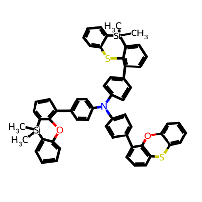 C[Si]1(C)c2ccccc2Oc2c(-c3ccc(N(c4ccc(-c5cccc6c5Oc5ccccc5S6)cc4)c4ccc(-c5cccc6c5Sc5ccccc5[Si]6(C)C)cc4)cc3)cccc21